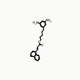 Nc1cc(N)cc(CCCCCOC(=O)/C=C/c2cccc3ccccc23)c1